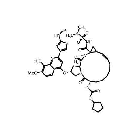 COc1ccc2c(O[C@@H]3C[C@H]4C(=O)N[C@]5(C(=O)NS(=O)(=O)N(C)C)CC5/C=C\CCCCC[C@H](NC(=O)OC5CCCC5)C(=O)N4C3)cc(-c3csc(NC(C)C)n3)nc2c1C